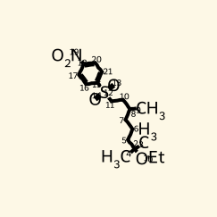 CCOC(C)(C)CCCC(C)CCS(=O)(=O)c1ccc([N+](=O)[O-])cc1